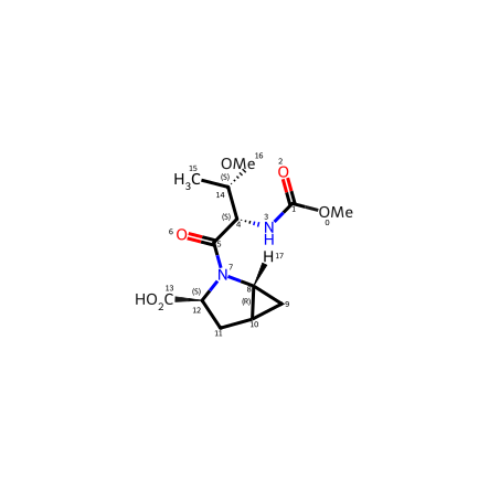 COC(=O)N[C@H](C(=O)N1[C@@H]2CC2C[C@H]1C(=O)O)[C@H](C)OC